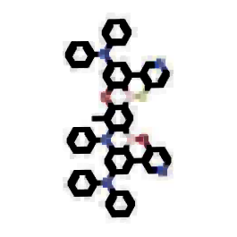 Cc1c2c(cc3c1N(c1ccccc1)c1cc(N(c4ccccc4)c4ccccc4)cc4c1B3Oc1ccncc1-4)B1Sc3ccncc3-c3cc(N(c4ccccc4)c4ccccc4)cc(c31)O2